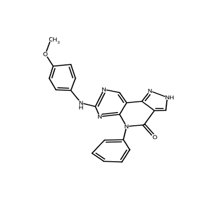 COc1ccc(Nc2ncc3c4n[nH]cc4c(=O)n(-c4ccccc4)c3n2)cc1